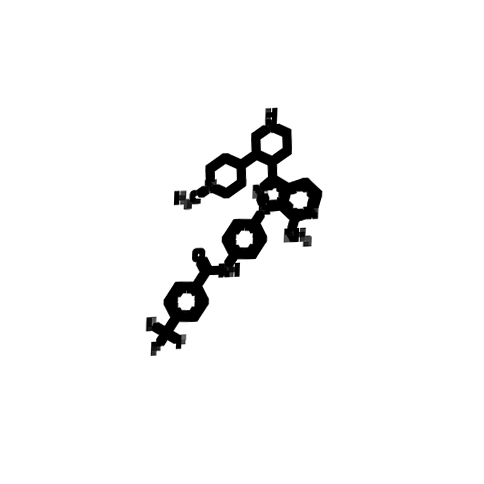 CN1CCC(C2CNCCC2c2nn(-c3ccc(NC(=O)c4ccc(C(F)(F)F)cc4)cc3)c3c(N)nccc23)CC1